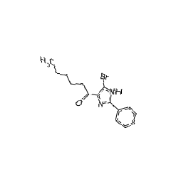 CCCCCC(=O)c1nc(-c2ccccc2)[nH]c1Br